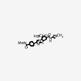 CNC(=O)c1ccc(-c2cn3c(n2)sc2cc(C(=O)NC4CN(C)C4)ccc23)cc1.O=CO